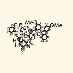 COc1ccc(C(OC[C@H]2O[C@@H](n3cnc4c(=O)[nH]c(NC(=O)COc5ccccc5)nc43)[C@@H](OCOCC(C(F)(F)F)C(F)(F)F)C2O)(c2ccccc2)c2ccc(OC)cc2)cc1